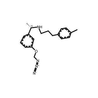 Cc1ccc(CCCN[C@@H](C)c2cccc(OCN=[N+]=[N-])c2)cc1